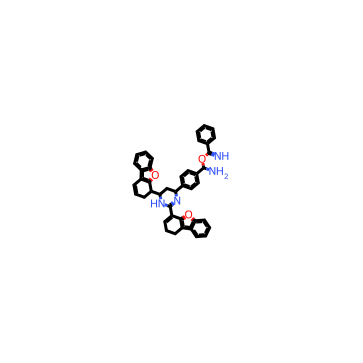 N=C(OC(N)c1ccc(C2CC(C3CC=Cc4c3oc3ccccc43)NC(C3=CCCc4c3oc3ccccc43)=N2)cc1)c1ccccc1